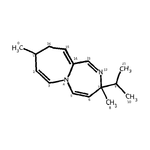 CC1C=CN2C=CC(C)(C(C)C)N=CC2=CC1